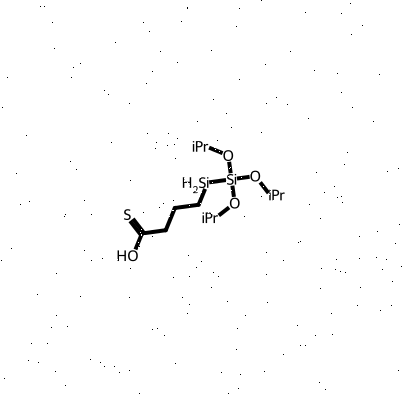 CC(C)O[Si](OC(C)C)(OC(C)C)[SiH2]CCCC(O)=S